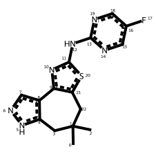 CC1(C)Cc2[nH]ncc2-c2nc(Nc3ncc(F)cn3)sc2C1